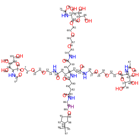 CC(=O)NC1C(OCCOCCOCCNC(=O)CCC(CCC(=O)NCCOCCOCCOC2OC(CO)C(O)C(O)C2NC(C)=O)(CCC(=O)NCCOCCOCCOC2OC(CO)C(O)C(O)C2NC(C)=O)NC(=O)CCCC(=O)NCPCOC2CCC(C(C)(C)C)C2)OC(CO)C(O)C1O